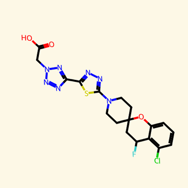 O=C(O)Cn1nnc(-c2nnc(N3CCC4(CC3)CC(F)c3c(Cl)cccc3O4)s2)n1